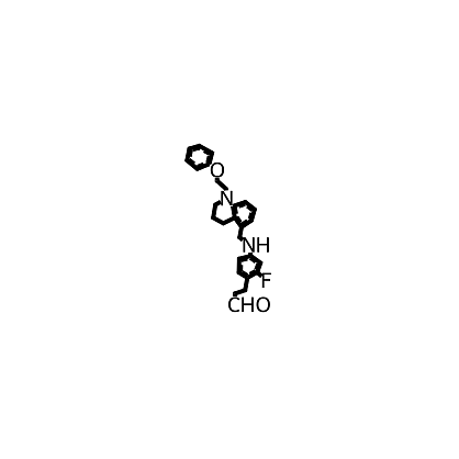 O=CCCc1ccc(NCc2cccc3c2CCCN3CCOc2ccccc2)cc1F